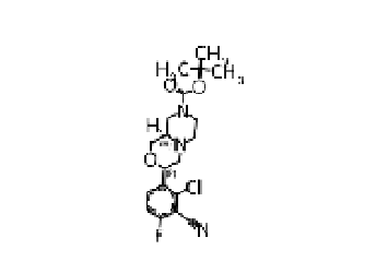 CC(C)(C)OC(=O)N1CCN2C[C@@H](c3ccc(F)c(C#N)c3Cl)OC[C@H]2C1